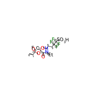 C=CC(=O)OC(OCCCC(F)(F)C(F)(F)S(=O)(=O)O)(C(=O)NCC)C(F)(F)F